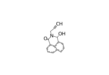 C#CCN1C(=O)c2cccc3cccc(c23)C1O